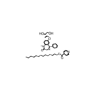 C=CC.CCCCCCCCCCCCCCOC(=O)c1ccncc1.CN1C(=O)CN=C(c2ccccc2)c2cc(Cl)ccc21.OCCO